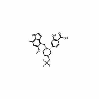 COc1cc(C)c2[nH]ccc2c1CN1CCN(CC(F)(F)F)C[C@H]1c1ccc(C(=O)O)c(O)c1